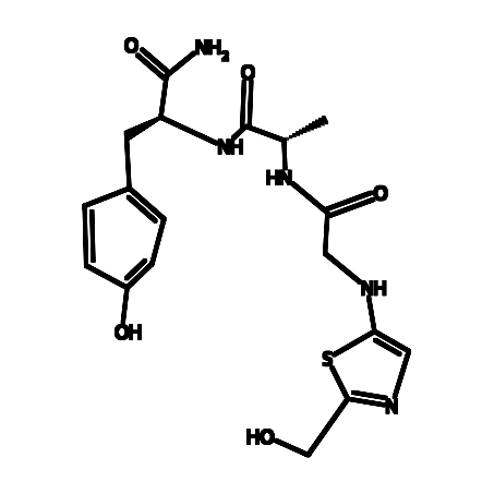 C[C@H](NC(=O)CNc1cnc(CO)s1)C(=O)N[C@@H](Cc1ccc(O)cc1)C(N)=O